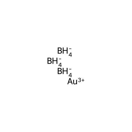 [Au+3].[BH4-].[BH4-].[BH4-]